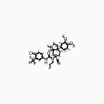 CCCN(C(=O)Nc1ccc(Cl)c(C(F)(F)F)c1)[C@@]1(C#N)CC[C@@]2(c3ccc(OC)c(OC)c3)CCN(C)[C@H]2C1